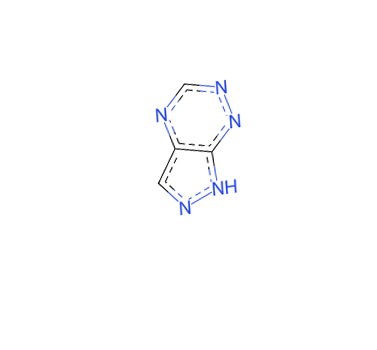 c1nnc2[nH]ncc2n1